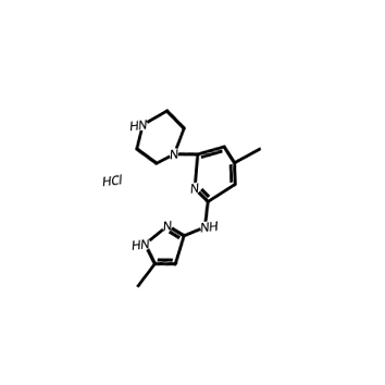 Cc1cc(Nc2cc(C)[nH]n2)nc(N2CCNCC2)c1.Cl